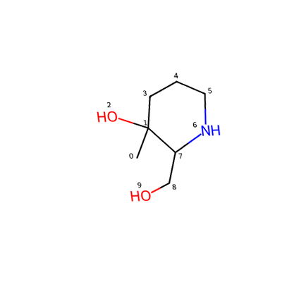 CC1(O)CCCNC1CO